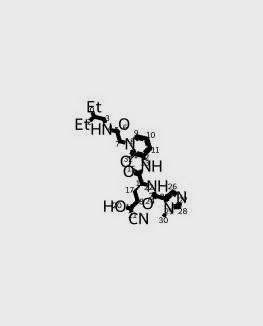 CCC(CC)CNC(=O)Cn1cccc(NC(=O)[C@H](CCC(O)C#N)NC(=O)c2cncn2C)c1=O